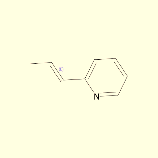 C/C=[C]/c1ccccn1